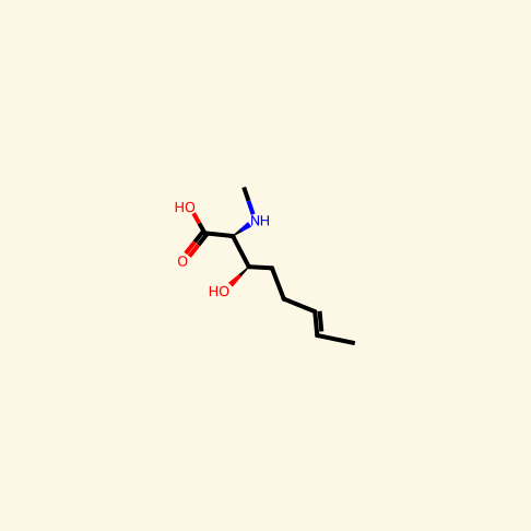 C/C=C/CC[C@@H](O)[C@H](NC)C(=O)O